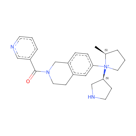 C[C@H]1CCC[N+]1(c1ccc2c(c1)CCN(C(=O)c1cccnc1)C2)[C@H]1CCNC1